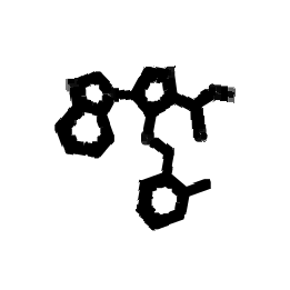 Cc1ccccc1COc1c(-n2cnc3ccccc32)csc1C(=O)O